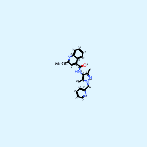 COc1cc(C(=O)Nc2c(C)nn(Cc3ccccn3)c2C)c2ccccc2n1